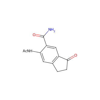 CC(=O)Nc1cc2c(cc1C(N)=O)C(=O)CC2